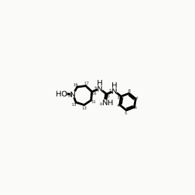 N=C(Nc1ccccc1)NC1CCCN(O)CC1